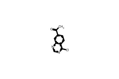 CC(=O)c1ccc2c(Cl)ncnc2c1